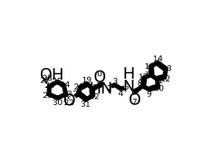 O=C(NCCNC(=O)c1ccc2ccccc2c1)c1ccc(O[C@H]2CC[C@@H](CO)CC2)cc1